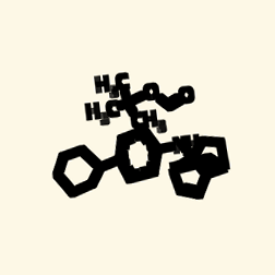 C1=CC2=C3C=C1C2(Nc1ccc(C2CCCCC2)cc1)CC3.CC(C)(C)OC=O